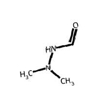 CN(C)NC=O